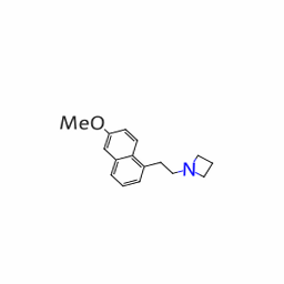 COc1ccc2c(CCN3CCC3)cccc2c1